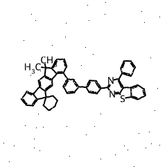 CC1(C)c2cc3c(cc2-c2c(-c4cccc(-c5ccc(-c6nc(-c7ccccc7)c7c(n6)sc6ccccc67)cc5)c4)cccc21)C1(CCCCC1)c1ccccc1-3